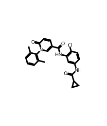 Cc1cccc(C)c1-n1cc(C(=O)Nc2cc(NC(=O)C3CC3)ccc2Cl)ccc1=O